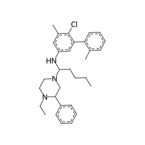 CCCCC(Nc1cc(C)c(Cl)c(-c2ccccc2C)c1)N1CCN(CC)C(c2ccccc2)C1